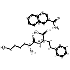 NC(=O)c1cnc2ccccc2c1.NCCCC[C@@H](N)C(=O)N[C@H](CCc1ccccc1)C(=O)O